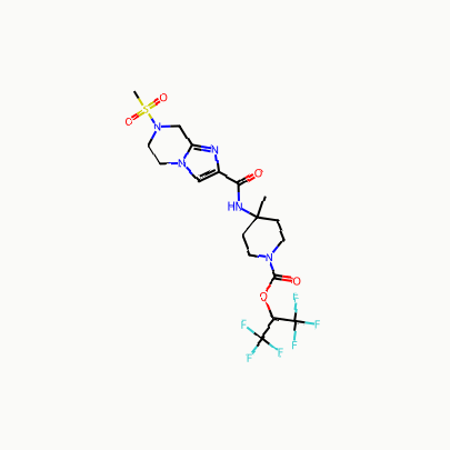 CC1(NC(=O)c2cn3c(n2)CN(S(C)(=O)=O)CC3)CCN(C(=O)OC(C(F)(F)F)C(F)(F)F)CC1